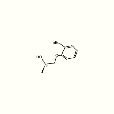 CCCCc1ccccc1OC[C@@H](C)O